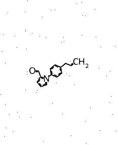 C=CCc1ccc(-n2cccc2C=O)cc1